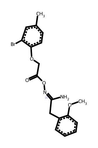 COc1ccccc1C/C(N)=N/OC(=O)COc1ccc(C)cc1Br